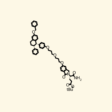 CC(C)(C)OC(=O)CC[C@@H](C(N)=O)N1Cc2cc(OCCCOCCCOc3ccc([C@H]4c5ccc(OCc6ccccc6)cc5CC[C@H]4c4ccccc4)cc3)ccc2C1=O